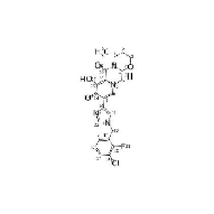 C[C@@H]1CCO[C@H]2Cn3cc(-c4cn(Cc5cccc(Cl)c5F)cn4)c(=O)c(O)c3C(=O)N12